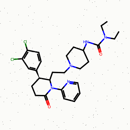 CCN(CC)C(=O)NC1CCN(CCC2[C@H](c3ccc(Cl)c(Cl)c3)CCC(=O)N2c2ccccn2)CC1